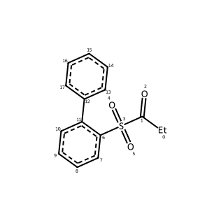 CCC(=O)S(=O)(=O)c1ccccc1-c1ccccc1